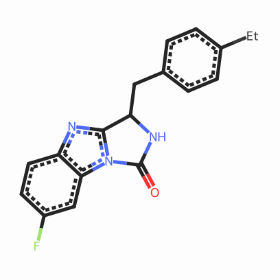 CCc1ccc(CC2NC(=O)n3c2nc2ccc(F)cc23)cc1